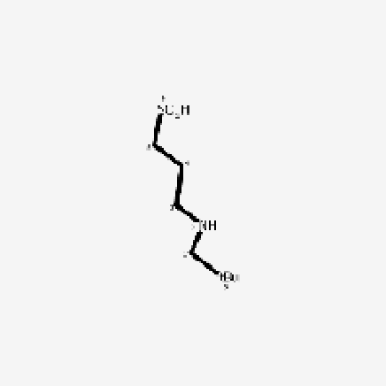 CC(C)(C)CNCCCS(=O)(=O)O